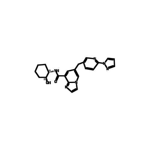 O=C(N[C@H]1CCCC[C@@H]1O)c1cc(Cc2ccc(-n3cccn3)nc2)cn2ccnc12